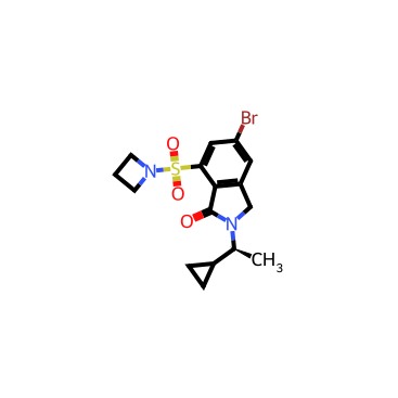 C[C@@H](C1CC1)N1Cc2cc(Br)cc(S(=O)(=O)N3CCC3)c2C1=O